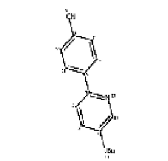 CC(C)(C)c1ccc(-c2ccc(C#N)cc2)nc1